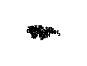 CC[C@H](C)[C@@H]([C@@H](CC(=O)N1CCC[C@H]1[C@H](OC)[C@@H](C)C(=O)N[C@@H](Cc1ccccc1)C(=O)OC)OC)N(C)C(=O)[C@H](C)NC(=O)C(C)(C)N